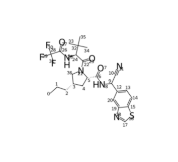 CCC[C@H]1C[C@@H](C(=O)NC(C#N)c2ccc3scnc3c2)N(C(=O)[C@@H](NC(=O)C(F)(F)F)C(C)(C)C)C1